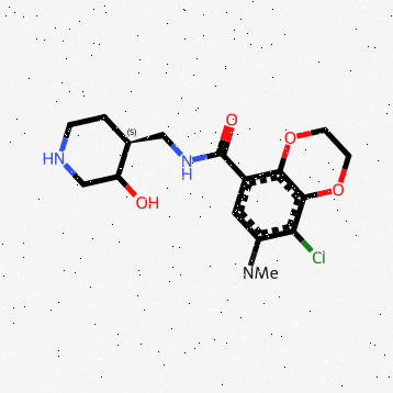 CNc1cc(C(=O)NC[C@@H]2CCNCC2O)c2c(c1Cl)OCCO2